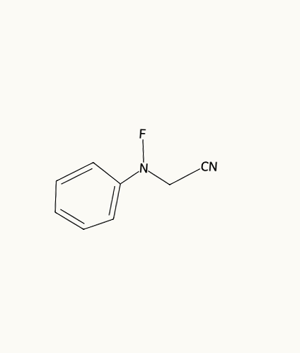 N#CCN(F)c1ccccc1